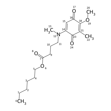 CCCCCCOC(=O)CCCN(C)C1=CC(=O)C(OC)=C(C)C1=O